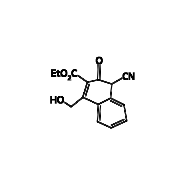 CCOC(=O)C1=C(CO)c2ccccc2C(C#N)C1=O